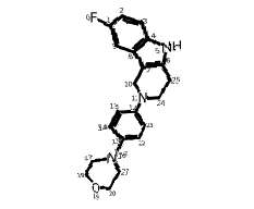 Fc1ccc2[nH]c3c(c2c1)CN(c1ccc(N2CCOCC2)cc1)CC3